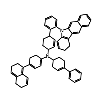 C1=CC2=C(C3=CC=C(N(C4C=CC(c5ccccc5-n5c6c(c7cc8ccccc8cc75)CCC=C6)CC4)C4CC=C(c5ccccc5)CC4)CC3)CCC=C2CC1